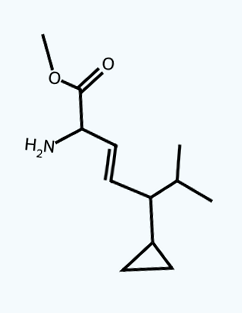 COC(=O)C(N)C=CC(C(C)C)C1CC1